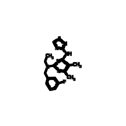 CCN(Cc1cccc(F)c1)c1nc(C)c(C)c(Nc2ncsn2)n1